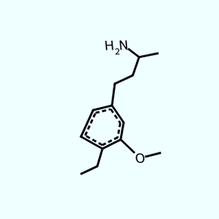 CCc1ccc(CCC(C)N)cc1OC